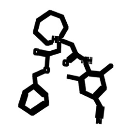 Cc1cc(C#N)cc(C)c1NC(=O)C[PH]1(CC(=O)OCc2ccccc2)CCCCCC1